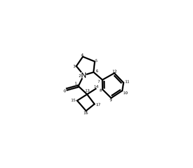 C=C(N1CCCC1c1ccccc1)C1(C)CCC1